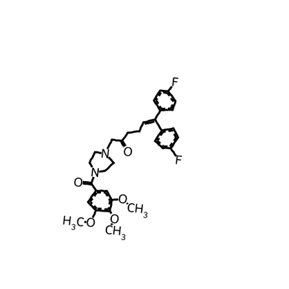 COc1cc(C(=O)N2CCN(CC(=O)CCC=C(c3ccc(F)cc3)c3ccc(F)cc3)CC2)cc(OC)c1OC